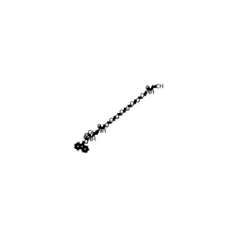 C#CCCC(=O)NCCOCCOCCOCCOCCOCCOCCOCCOCCC(=O)NCCCC[C@H](NC(=O)OCC1c2ccccc2-c2ccccc21)C(=O)O